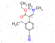 CCOC(=O)/C(=C\N(C)C)c1ccc(C#N)cc1CC